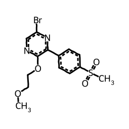 COCCOc1ncc(Br)nc1-c1ccc(S(C)(=O)=O)cc1